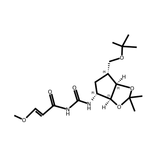 COC=CC(=O)NC(=O)N[C@@H]1C[C@H](COC(C)(C)C)[C@H]2OC(C)(C)O[C@H]21